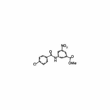 COC(=O)c1cc(NC(=O)c2ccc(Cl)cc2)cc([N+](=O)[O-])c1